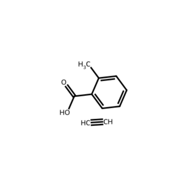 C#C.Cc1ccccc1C(=O)O